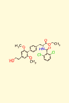 CCOC(=O)[C@H](Cc1ccc(-c2c(OC)cc(CCO)cc2OC)cc1)NC(=O)c1c(Cl)cccc1Cl